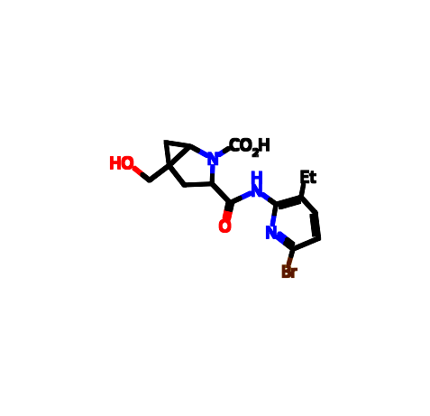 CCc1ccc(Br)nc1NC(=O)C1CC2(CO)CC2N1C(=O)O